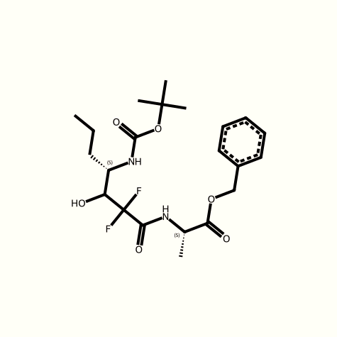 CCC[C@H](NC(=O)OC(C)(C)C)C(O)C(F)(F)C(=O)N[C@@H](C)C(=O)OCc1ccccc1